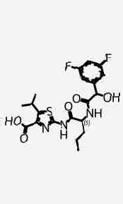 CCC[C@H](NC(=O)C(O)c1cc(F)cc(F)c1)C(=O)Nc1nc(C(=O)O)c(C(C)C)s1